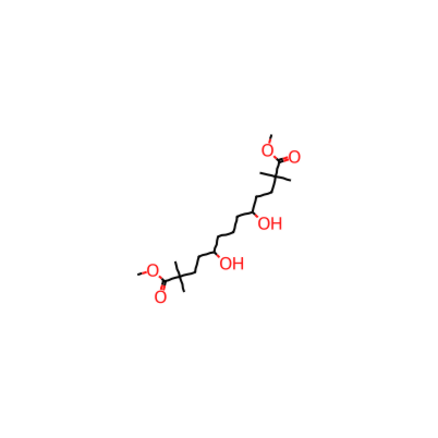 COC(=O)C(C)(C)CCC(O)CCCC(O)CCC(C)(C)C(=O)OC